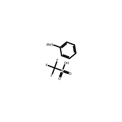 CSc1ccccc1.O=S(=O)(O)C(F)(F)F